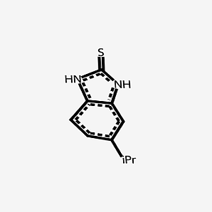 CC(C)c1ccc2[nH]c(=S)[nH]c2c1